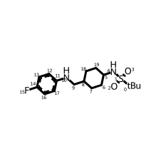 CC(C)(C)S(=O)(=O)NC1CCC(CNc2ccc(F)cc2)CC1